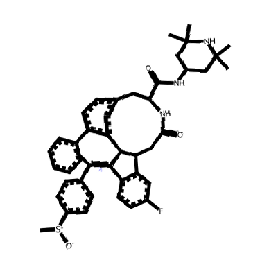 C/C(=C1/c2ccc(F)cc2C2CC(=O)NC(C(=O)NC3CC(C)(C)NC(C)(C)C3)Cc3ccc(-c4ccccc4)c(c3)C12)c1ccc([S+](C)[O-])cc1